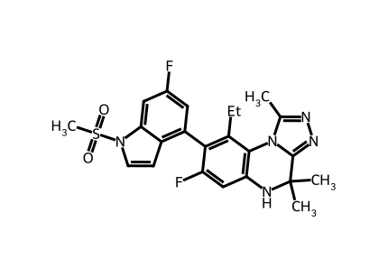 CCc1c(-c2cc(F)cc3c2ccn3S(C)(=O)=O)c(F)cc2c1-n1c(C)nnc1C(C)(C)N2